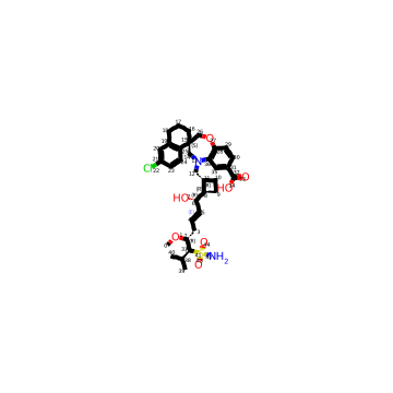 CO[C@H](C/C=C/[C@H](O)[C@@H]1CC[C@H]1CN1C[C@@]2(CCCc3cc(Cl)ccc32)COc2ccc(C(=O)O)cc21)[C@H](C(C)C)S(N)(=O)=O